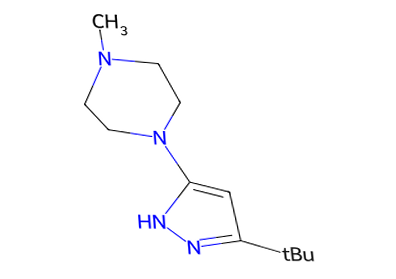 CN1CCN(c2cc(C(C)(C)C)n[nH]2)CC1